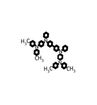 Cc1ccc(N(C2=CC=C(N(c3ccccc3)c3ccc(-c4ccc(N(c5ccccc5)c5ccc(N(c6ccc(C)cc6)c6ccc(C)cc6)cc5)cc4)cc3)CC2)c2ccc(C)cc2)cc1